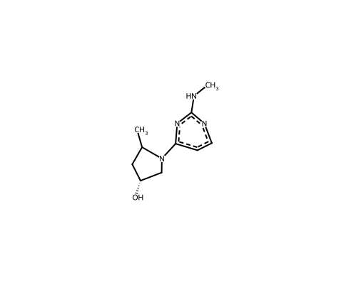 CNc1nccc(N2C[C@H](O)CC2C)n1